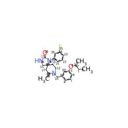 CC[C@@H](C)Oc1cccc(CN2CC[C@]3(CNC(=O)N3c3cccc(F)c3)C[C@@H]2C)c1